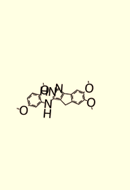 COc1ccc(OC)c(Nc2[nH]nc3c2Cc2cc(OC)c(OC)cc2-3)c1